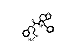 CNCCN(Cc1ccccc1)C(=O)c1nn(-c2ccccc2)c2c1CCc1sccc1-2